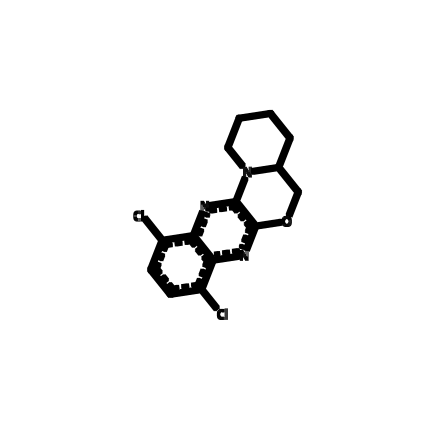 Clc1ccc(Cl)c2nc3c(nc12)OCC1CCCCN31